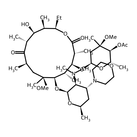 CC[C@H]1OC(=O)[C@H](C)[C@@H](O[C@H]2C[C@@](C)(OC)[C@@H](OC(C)=O)[C@H](C)O2)[C@H](C)[C@@H](O[C@@H]2O[C@H](C)C[C@@H](N3CCOCC3)[C@@H]2N(C)C)[C@@](C)(OC)C[C@@H](C)C(=O)[C@H](C)[C@@H](O)[C@H]1C